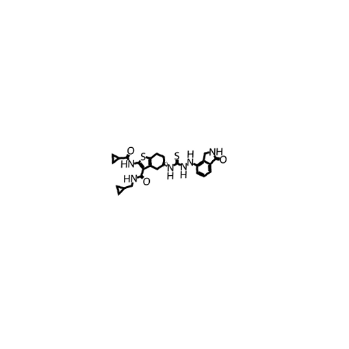 O=C1NCc2c(NNC(=S)N[C@H]3CCc4sc(NC(=O)C5CC5)c(C(=O)NCC5CC5)c4C3)cccc21